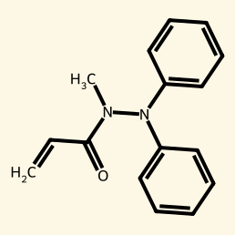 C=CC(=O)N(C)N(c1ccccc1)c1ccccc1